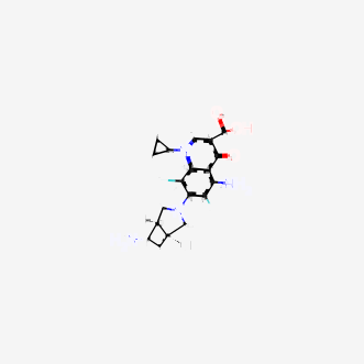 C[C@@]12C[C@H](N)[C@@H]1CN(c1c(F)c(N)c3c(=O)c(C(=O)O)cn(C4CC4)c3c1F)C2